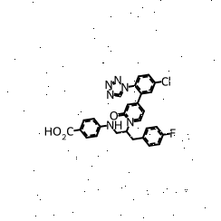 O=C(O)c1ccc(NCC(Cc2ccc(F)cc2)n2ccc(-c3cc(Cl)ccc3-n3cnnn3)cc2=O)cc1